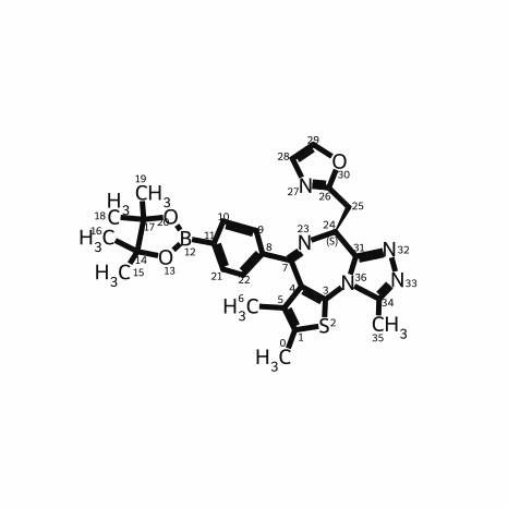 Cc1sc2c(c1C)C(c1ccc(B3OC(C)(C)C(C)(C)O3)cc1)=N[C@@H](Cc1ncco1)c1nnc(C)n1-2